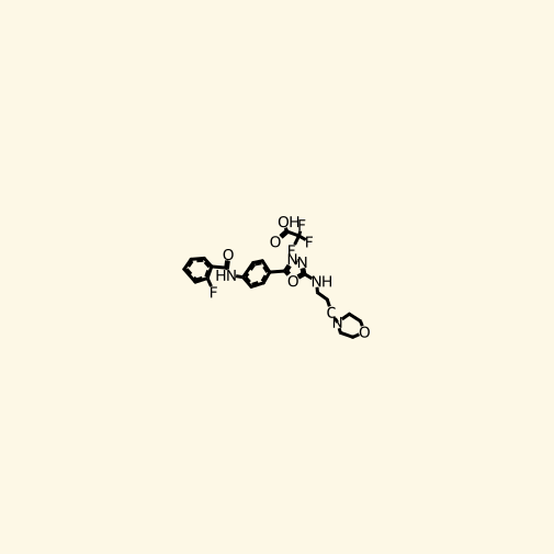 O=C(Nc1ccc(-c2nnc(NCCCN3CCOCC3)o2)cc1)c1ccccc1F.O=C(O)C(F)(F)F